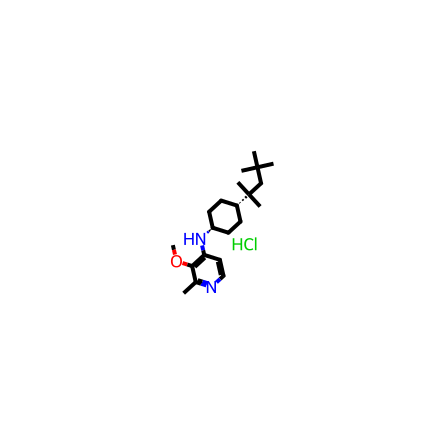 COc1c(N[C@H]2CC[C@@H](C(C)(C)CC(C)(C)C)CC2)ccnc1C.Cl